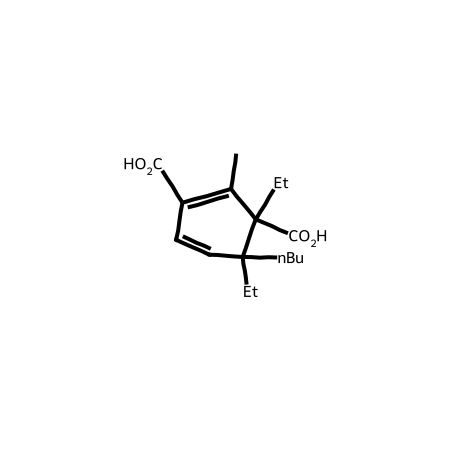 CCCCC1(CC)C=CC(C(=O)O)=C(C)C1(CC)C(=O)O